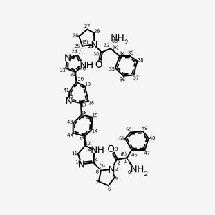 N[C@@H](C(=O)N1CCC[C@H]1C1=NCC(c2ccc(-c3ccc(-c4cnc([C@@H]5CCCN5C(=O)[C@H](N)c5ccccc5)[nH]4)cn3)cc2)N1)c1ccccc1